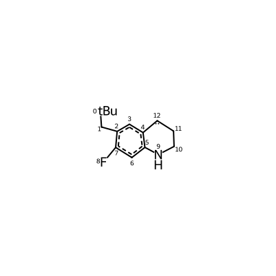 CC(C)(C)Cc1cc2c(cc1F)NCC[C]2